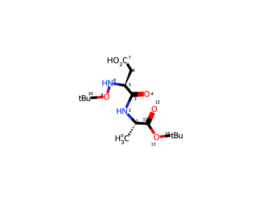 C[C@H](NC(=O)[C@H](CC(=O)O)NOC(C)(C)C)C(=O)OC(C)(C)C